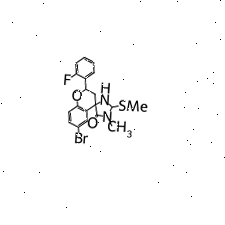 CSC1NC2(CC(c3ccccc3F)Oc3ccc(Br)cc32)C(=O)N1C